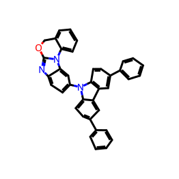 c1ccc(-c2ccc3c(c2)c2cc(-c4ccccc4)ccc2n3-c2ccc3nc4n(c3c2)-c2ccccc2CO4)cc1